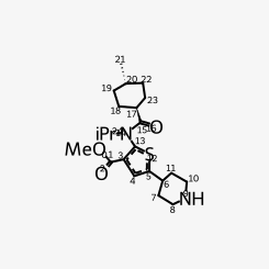 COC(=O)c1cc(C2CCNCC2)sc1N(C(=O)[C@H]1CC[C@H](C)CC1)C(C)C